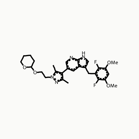 COc1cc(OC)c(F)c(Cc2c[nH]c3ncc(-c4c(C)nn(CCOC5CCCCO5)c4C)cc23)c1F